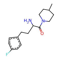 CC1CCN(C(=O)C(N)CCc2ccc(F)cc2)CC1